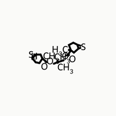 CC(C)(COC(=O)C1(C)CCC2SC2C1)COC(=O)C1(C)CC[C@@H]2SC2C1